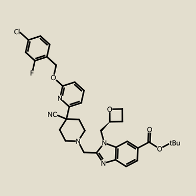 CC(C)(C)OC(=O)c1ccc2nc(CN3CCC(C#N)(c4cccc(OCc5ccc(Cl)cc5F)n4)CC3)n(C[C@@H]3CCO3)c2c1